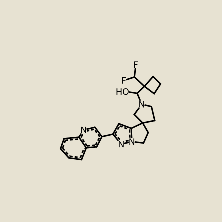 OC(N1CCC2(CCn3nc(-c4cnc5ccccc5c4)cc32)C1)C1(C(F)F)CCC1